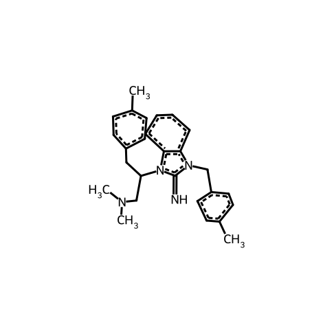 Cc1ccc(CC(CN(C)C)n2c(=N)n(Cc3ccc(C)cc3)c3ccccc32)cc1